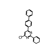 Clc1cc(-c2ccc(-c3ccccc3)cc2)nc(C2=CCCC=C2)n1